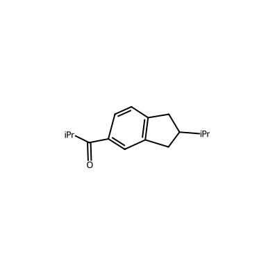 CC(C)C(=O)c1ccc2c(c1)CC(C(C)C)C2